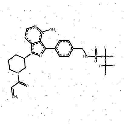 C=CC(=O)N1CCC[C@@H](n2nc(-c3ccc(CNS(=O)(=O)C(F)(F)C(F)(F)F)cc3)c3c(N)ncnc32)C1